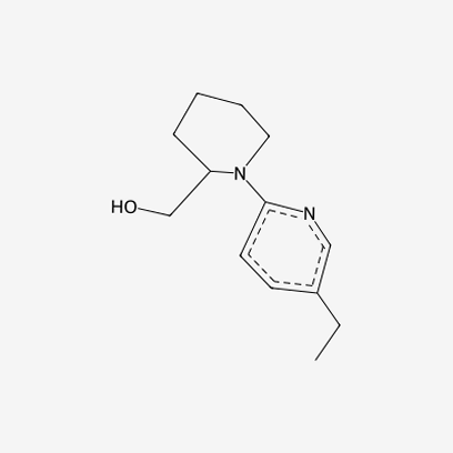 CCc1ccc(N2CCCCC2CO)nc1